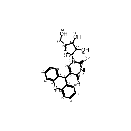 O=c1[nH]c(=S)c(C2c3ccccc3Oc3ccccc32)cn1[C@H]1O[C@@H](CO)C(O)C1O